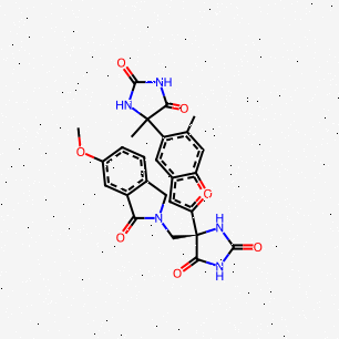 COc1ccc2c(c1)C(=O)N(C[C@@]1(c3cc4cc(C5(C)NC(=O)NC5=O)c(C)cc4o3)NC(=O)NC1=O)C2